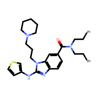 CC(C)CCN(CCC(C)C)C(=O)c1ccc2nc(Nc3ccsc3)n(CCCN3CCCCC3)c2c1